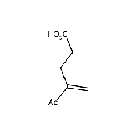 C=C(CCC(=O)O)C(C)=O